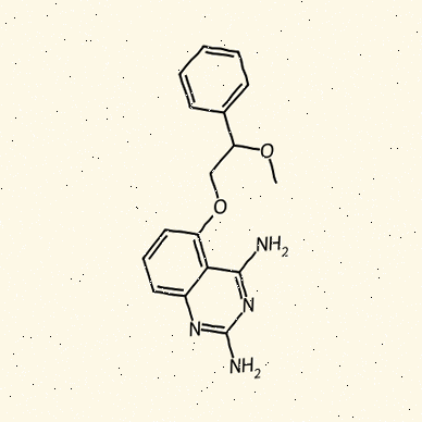 COC(COc1cccc2nc(N)nc(N)c12)c1ccccc1